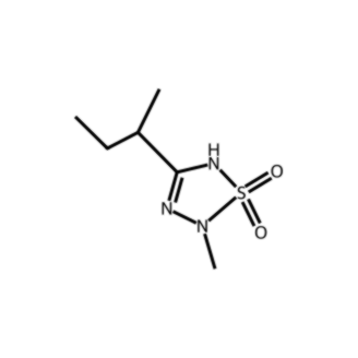 CCC(C)C1=NN(C)S(=O)(=O)N1